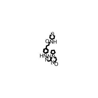 CN1CCC(NC(=O)CCc2ccc(Nc3ncc4c(n3)N(C3CCCC3)CCC(=O)N4C)cc2)CC1